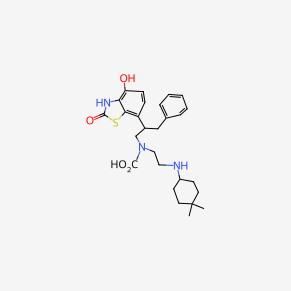 CC1(C)CCC(NCCN(CC(Cc2ccccc2)c2ccc(O)c3[nH]c(=O)sc23)C(=O)O)CC1